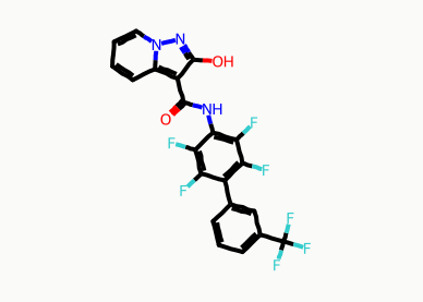 O=C(Nc1c(F)c(F)c(-c2cccc(C(F)(F)F)c2)c(F)c1F)c1c(O)nn2ccccc12